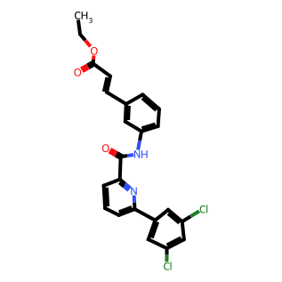 CCOC(=O)/C=C/c1cccc(NC(=O)c2cccc(-c3cc(Cl)cc(Cl)c3)n2)c1